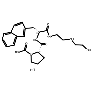 CC(C)(C)C(=O)N1CCC[C@H]1C(=O)N[C@H](Cc1ccc2ccccc2c1)C(=O)NCCNCCO.Cl